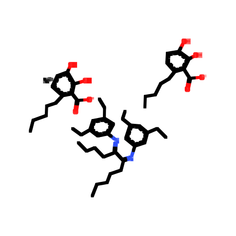 CCCCCC(=Nc1cc(CC)cc(CC)c1)C(CCCC)=Nc1cc(CC)cc(CC)c1.CCCCCc1ccc(O)c(O)c1C(=O)[O-].CCCCCc1ccc(O)c(O)c1C(=O)[O-].[Ni+2]